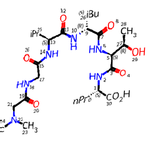 CCC[C@H](NC(=O)[C@@H](NC(=O)[C@H](NC(=O)[C@@H](NC(=O)CNC(=O)CN(C)C(C)=O)C(C)C)[C@@H](C)CC)[C@@H](C)O)C(=O)O